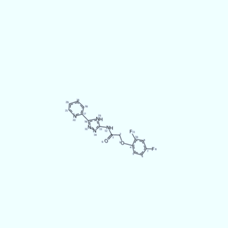 O=C(COc1ccc(F)cc1F)Nc1nnc(-c2ccccn2)[nH]1